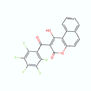 O=C(c1c(F)c(F)c(F)c(F)c1F)c1c(O)c2c(ccc3ccccc32)oc1=O